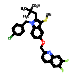 CC(C)(C)Sc1c(CC(C)(C)C(=O)O)n(Cc2ccc(Cl)cc2)c2ccc(OCc3ccc4cc(F)c(F)cc4n3)cc12